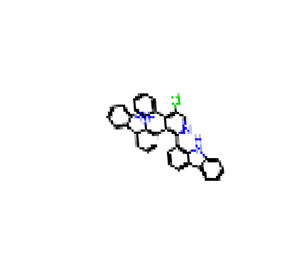 Clc1cnc(-c2cccc3c2[nH]c2ccccc23)c(-c2cccc3c2[nH]c2ccccc23)c1-c1ccccc1